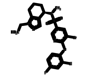 CN([C@@H]1CCCc2c1cnn2CC(=O)O)S(=O)(=O)c1cnc(Oc2ccc(F)cc2Cl)c(Br)c1